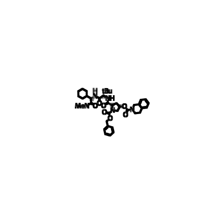 CNC(=O)[C@@H](NC(=O)[C@@H](NC(=O)[C@H]1C[C@H](OC(=O)N2CCc3ccccc3C2)CN1C(=O)OCc1ccccc1)C(C)(C)C)C1CCCCC1